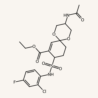 CCOC(=O)C1=CC2(CCC1S(=O)(=O)Nc1ccc(F)cc1Cl)OCC(NC(C)=O)CO2